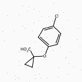 O=C(O)C1(Oc2ccc(Cl)cc2)CC1